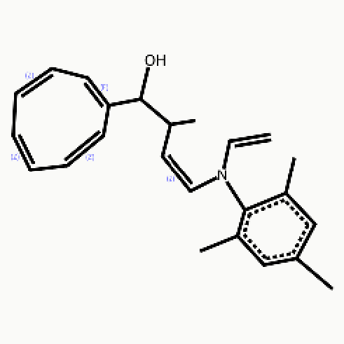 C=CN(/C=C\C(C)C(O)C1=C/C=C\C=C/C=C\1)c1c(C)cc(C)cc1C